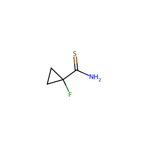 NC(=S)C1(F)CC1